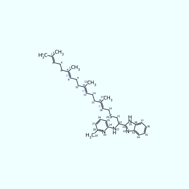 CC(C)=CCC/C(C)=C/CC/C(C)=C/CC/C(C)=C/CSCC(Nc1cccc(C)n1)c1nc2ccccc2[nH]1